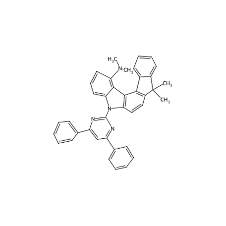 CN(C)c1cccc2c1c1c3c(ccc1n2-c1nc(-c2ccccc2)cc(-c2ccccc2)n1)C(C)(C)c1ccccc1-3